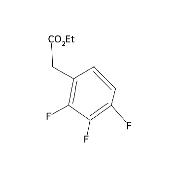 CCOC(=O)Cc1ccc(F)c(F)c1F